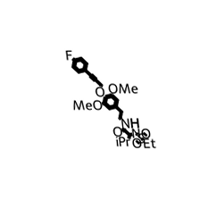 CCS(=O)(=O)NC(C(=O)NCCc1cc(OC)c(OCC#Cc2ccc(F)cc2)c(OC)c1)C(C)C